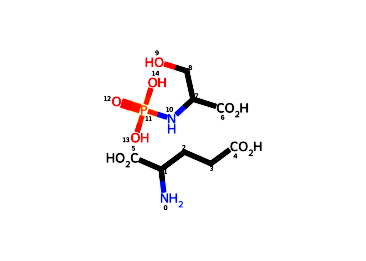 NC(CCC(=O)O)C(=O)O.O=C(O)C(CO)NP(=O)(O)O